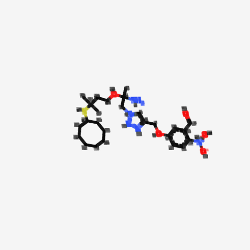 CC(N)(Cn1cc(COc2ccc([N+](=O)[O-])c(C=O)c2)nn1)OCCC(C)(C)SC1CCCCCCC1